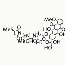 COc1cccc2c1C(=O)c1c(O)c3c(c(O)c1C2=O)C[C@@](O)(C(=O)CO)C[C@@H]3O[C@H]1C[C@H]2[C@H](O[C@@H]3[C@@H](OC)N(C(=O)CN4C(=O)CC(SC)C4=O)CCN32)[C@H](C)O1